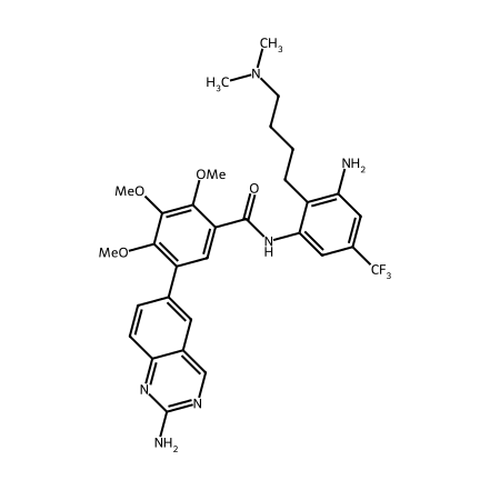 COc1c(C(=O)Nc2cc(C(F)(F)F)cc(N)c2CCCCN(C)C)cc(-c2ccc3nc(N)ncc3c2)c(OC)c1OC